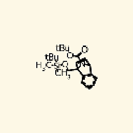 CC(C)(C)OC(=O)N1C2C=CC1(CO[Si](C)(C)C(C)(C)C)c1ccccc12